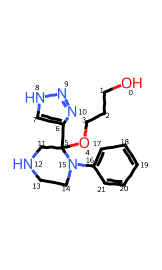 OCCCOC1(c2c[nH]nn2)CNCCN1c1ccccc1